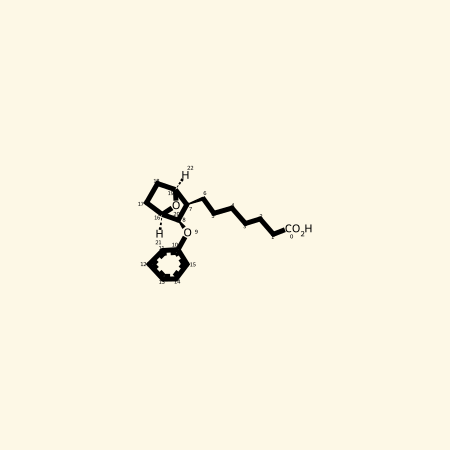 O=C(O)CCCCCC[C@H]1[C@@H](Oc2ccccc2)[C@H]2CC[C@@H]1O2